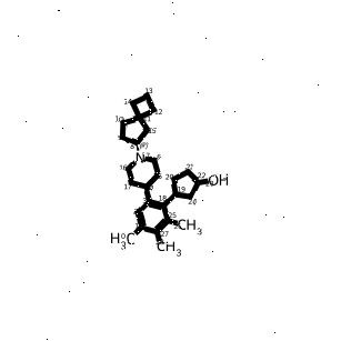 Cc1cc(C2CCN([C@@H]3CCC4(CCC4)C3)CC2)c(C2CCC(O)C2)c(C)c1C